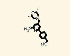 C[C@@H]1CN(Cc2cc(N)nc(-c3ccc(CO)cc3)c2)C[C@H](C)O1